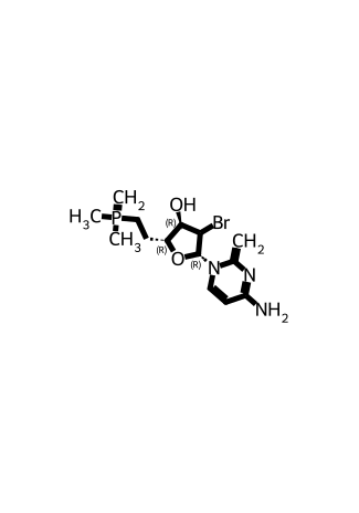 C=C1N=C(N)C=CN1[C@@H]1O[C@H](CCP(=C)(C)C)[C@@H](O)C1Br